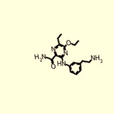 CCOc1nc(Nc2cccc(CCN)c2)c(C(N)=O)nc1CC